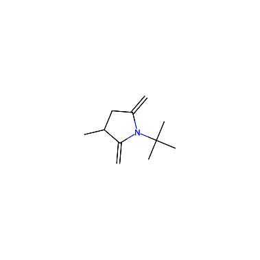 C=C1CC(C)C(=C)N1C(C)(C)C